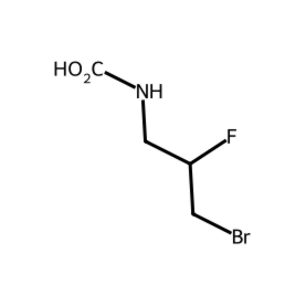 O=C(O)NCC(F)CBr